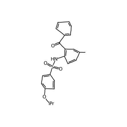 Cc1ccc(NS(=O)(=O)c2ccc(OC(C)C)cc2)c(C(=O)c2ccccc2)c1